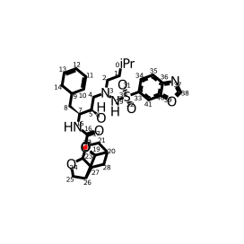 CC(C)CCN(C[C@@H](O)[C@H](CC1C=CC=CC1)NC(=O)OC1C2COC3OCC1C3C2)NS(=O)(=O)c1ccc2ncoc2c1